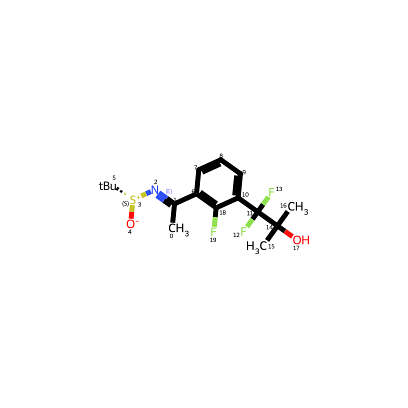 C/C(=N\[S@+]([O-])C(C)(C)C)c1cccc(C(F)(F)C(C)(C)O)c1F